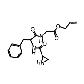 C=CCOC(=O)CNC(=O)C(Cc1ccccc1)NC(=O)C1CN1